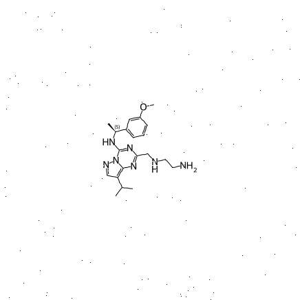 COc1cccc([C@H](C)Nc2nc(CNCCN)nc3c(C(C)C)cnn23)c1